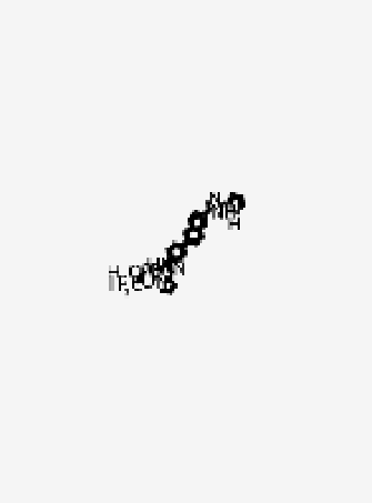 CC(C)(C)OC(=O)N1CCC[C@H]1c1nc2cc(-c3ccc4cc(C5CN=C([C@@H]6CCCN6)N5)ccc4c3)ccc2[nH]1